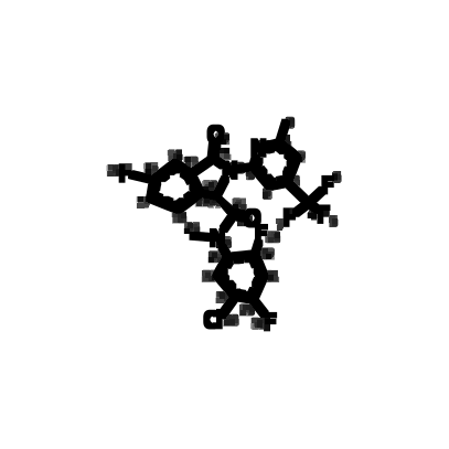 Cc1cc(C(F)(F)F)cc(N2C(=O)c3cc(F)ccc3[C@@H]2C(=O)N(C)c2cc(Cl)c(F)cc2F)n1